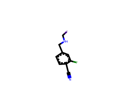 N#Cc1ccc(CNCI)cc1F